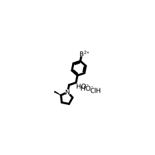 Cl.[B+2]c1ccc(CCN2CCC[C@H]2C)cc1.[OH-].[OH-]